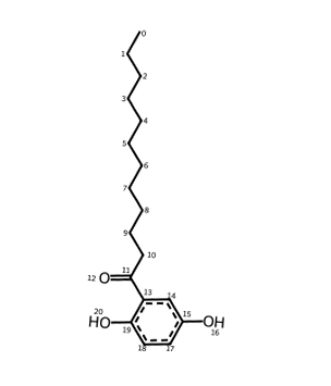 CCCCCCCCCCCC(=O)c1cc(O)ccc1O